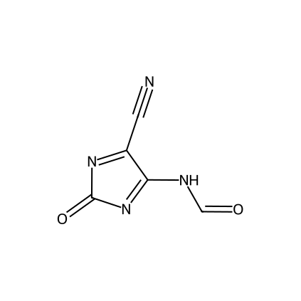 N#CC1=NC(=O)N=C1NC=O